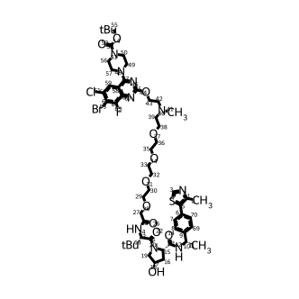 Cc1ncsc1-c1ccc([C@H](C)NC(=O)[C@@H]2C[C@@H](O)CN2C(=O)[C@@H](NC(=O)COCCOCCOCCOCCN(C)CCOc2nc(N3CCN(C(=O)OC(C)(C)C)CC3)c3cc(Cl)c(Br)c(F)c3n2)C(C)(C)C)cc1